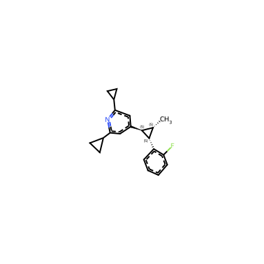 C[C@H]1[C@H](c2cc(C3CC3)nc(C3CC3)c2)[C@H]1c1ccccc1F